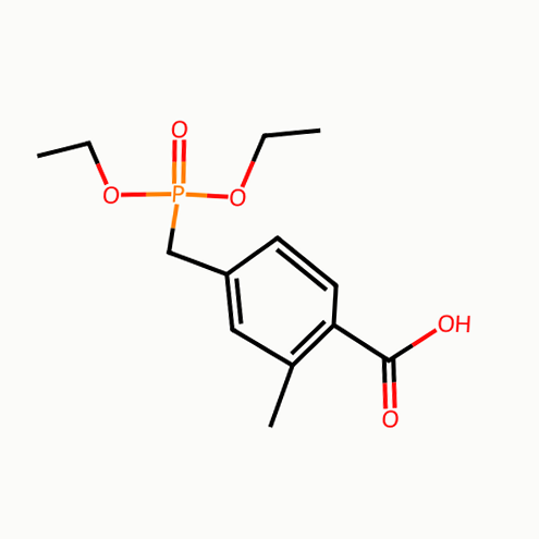 CCOP(=O)(Cc1ccc(C(=O)O)c(C)c1)OCC